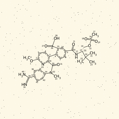 COc1ccc(-c2ccc(C(=O)N[C@H](COS(C)(=O)=O)C(C)(C)C)cc2C(=O)O)c(C(=O)N(C)c2ccc(C(=N)N)cc2)n1